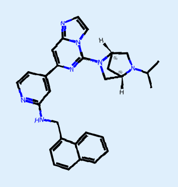 CC(C)N1C[C@@H]2C[C@H]1CN2c1nc(-c2ccnc(NCc3cccc4ccccc34)c2)cc2nccn12